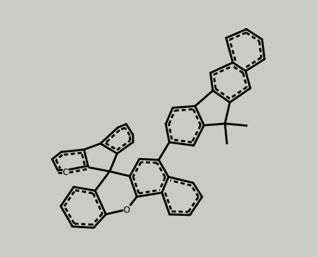 CC1(C)c2cc(-c3cc4c(c5ccccc35)Oc3ccccc3C43c4ccccc4-c4ccccc43)ccc2-c2cc3ccccc3cc21